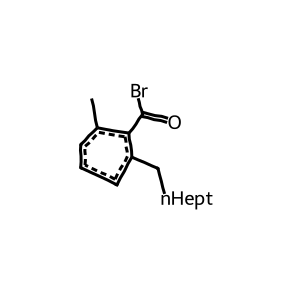 CCCCCCCCc1cccc(C)c1C(=O)Br